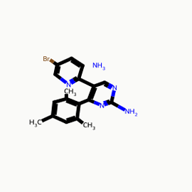 Cc1cc(C)c(-c2nc(N)ncc2-c2ccc(Br)cn2)c(C)c1.N